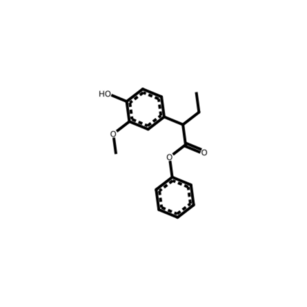 CCC(C(=O)Oc1ccccc1)c1ccc(O)c(OC)c1